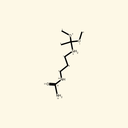 COC(C)(OC)[SiH2]CCCNC(N)=O